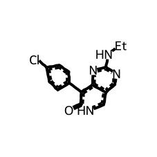 CCNc1ncc2c[nH]c(=O)c(-c3ccc(Cl)cc3)c2n1